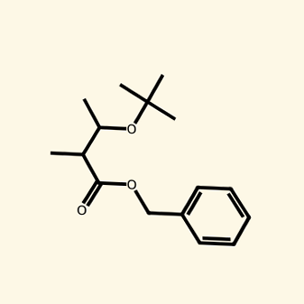 CC(OC(C)(C)C)C(C)C(=O)OCc1ccccc1